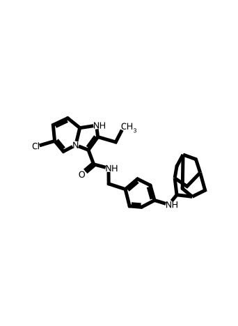 CCC1=C(C(=O)NCc2ccc(NC3C4CC5CC(C4)CC3C5)cc2)N2C=C(Cl)C=CC2N1